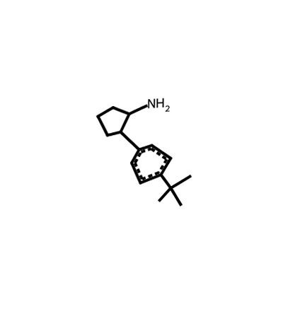 CC(C)(C)c1ccc(C2CCCC2N)cc1